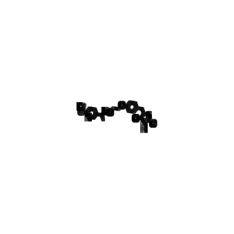 CCOc1ccc(C(C)=NOCCOc2ccc(CC3SC(=O)NC3=O)cc2)cn1